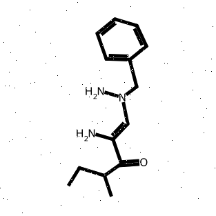 CCC(C)C(=O)/C(N)=C/N(N)Cc1ccccc1